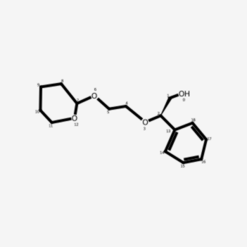 OC[C@H](OCCOC1CCCCO1)c1ccccc1